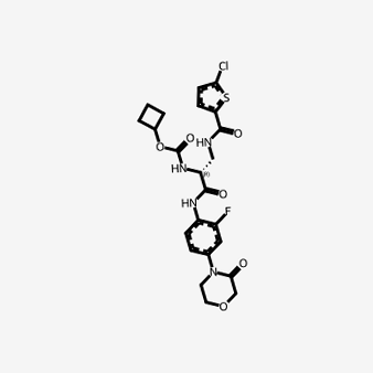 O=C(N[C@H](CNC(=O)c1ccc(Cl)s1)C(=O)Nc1ccc(N2CCOCC2=O)cc1F)OC1CCC1